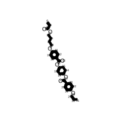 C=CC(=O)OCCCCOc1ccc(C(=O)OC2=CC=C(OC(=O)c3ccc(O/C=C\C)cc3)CC2)cc1